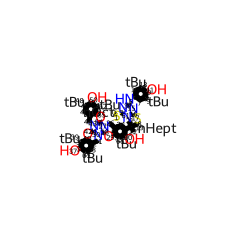 CCCCCCCCSc1nc(Nc2cc(C(C)(C)C)c(O)c(C(C)(C)C)c2)nc(SC(CCCCCCC)C(C)(C)c2cc(Cn3c(=O)n(Cc4cc(C(C)(C)C)c(O)c(C(C)(C)C)c4)c(=O)n(Cc4cc(C(C)(C)C)c(O)c(C(C)(C)C)c4)c3=O)cc(C(C)(C)C)c2O)n1